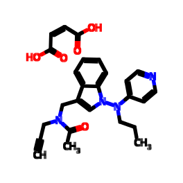 C#CCN(Cc1cn(N(CCC)c2ccncc2)c2ccccc12)C(C)=O.O=C(O)/C=C\C(=O)O